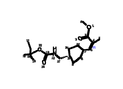 COC(=O)/C(C)=C\[C@H]1CC[C@H](CNC(=O)OC(C)(C)C)CC1